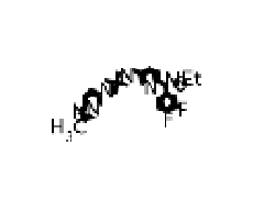 CCON=C(c1ccc(F)c(F)c1)c1ccc(CN2CC3(C2)CN(c2ccc4nc(C)cn4c2)C3)cn1